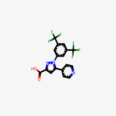 O=C(O)c1cc(-c2ccncc2)n(-c2cc(C(F)(F)F)cc(C(F)(F)F)c2)n1